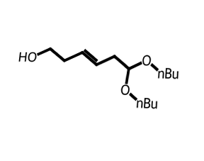 CCCCOC(C/C=C/CCO)OCCCC